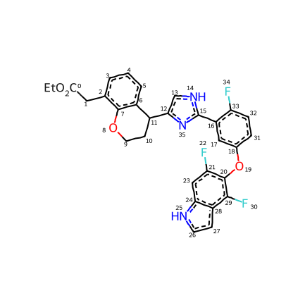 CCOC(=O)Cc1cccc2c1OCCC2c1c[nH]c(-c2cc(Oc3c(F)cc4[nH]ccc4c3F)ccc2F)n1